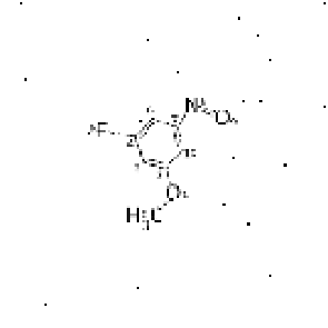 COc1cc(F)cc(N=O)c1